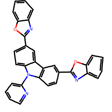 c1ccc(-n2c3ccc(-c4nc5ccccc5o4)cc3c3cc(-c4nc5ccccc5o4)ccc32)nc1